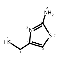 Nc1nc(CS)cs1